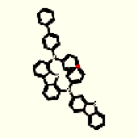 c1ccc(-c2ccc(N(c3ccccc3)c3cccc4c3sc3c(N(c5ccccc5)c5ccc6c(c5)sc5ccccc56)cccc34)cc2)cc1